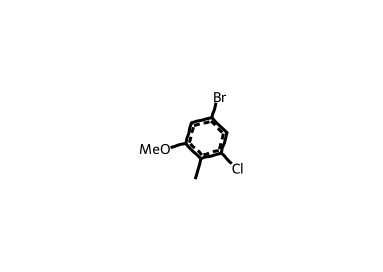 COc1cc(Br)cc(Cl)c1C